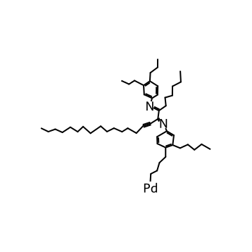 CCCCCCCCCCCCCCC#CC(=N\c1ccc(CCCCC)c(CCCCC)c1)/C(CCCCCC)=N/c1ccc(CCC)c(CCC)c1.[Pd]